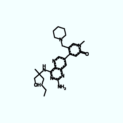 CCCCC(C)(CO)Nc1nc(N)nc2cc(-c3cc(=O)n(C)cc3CN3CCCCC3)cnc12